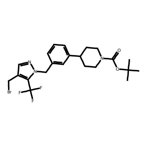 CC(C)(C)OC(=O)N1CCC(c2cccc(Cn3ncc(CBr)c3C(F)(F)F)c2)CC1